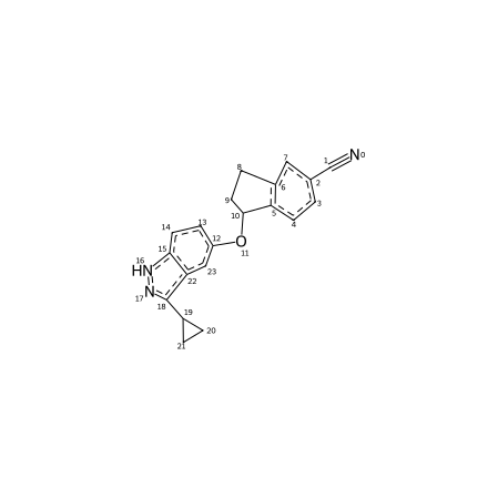 N#Cc1ccc2c(c1)CCC2Oc1ccc2[nH]nc(C3CC3)c2c1